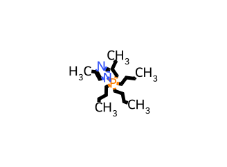 CCCCP(CCCC)(CCCC)(CCCC)n1cnc(C)c1